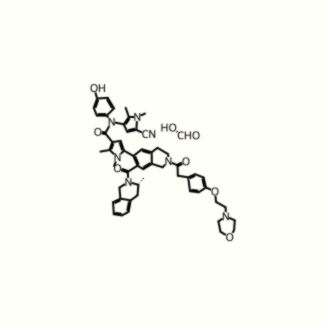 Cc1c(N(C(=O)c2cc(-c3cc4c(cc3C(=O)N3Cc5ccccc5C[C@H]3C)CN(C(=O)Cc3ccc(OCCN5CCOCC5)cc3)CC4)n(C)c2C)c2ccc(O)cc2)cc(C#N)n1C.O=CO